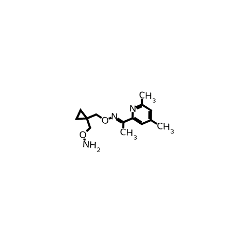 C/C(=N\OCC1(CON)CC1)c1cc(C)cc(C)n1